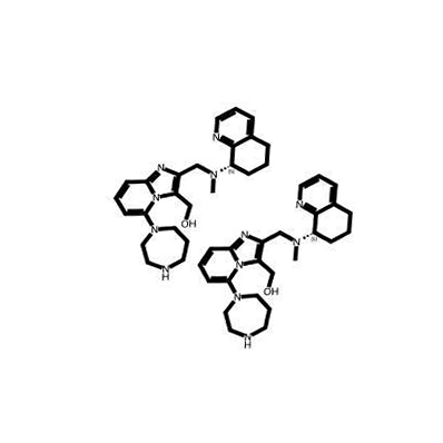 CN(Cc1nc2cccc(N3CCCNCC3)n2c1CO)[C@H]1CCCc2cccnc21.CN(Cc1nc2cccc(N3CCCNCC3)n2c1CO)[C@H]1CCCc2cccnc21